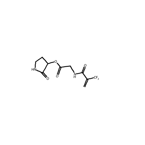 C=C(C(=O)NCC(=O)OC1CCNC1=O)C(F)(F)F